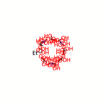 CCC1OC2OC(CO)C/C(O)=C(\O)C(O)OC3C(CO)OC(OC(CCO)/C(O)=C(\O)C(O)OC4C(CO)OC(OC5C(CO)OC(OC(CCO)/C(O)=C(\O)C(O)OC6C(CO)OC(OC1C(O)C2O)C(O)C6O)C(O)C5O)C(O)C4O)C(O)C3O